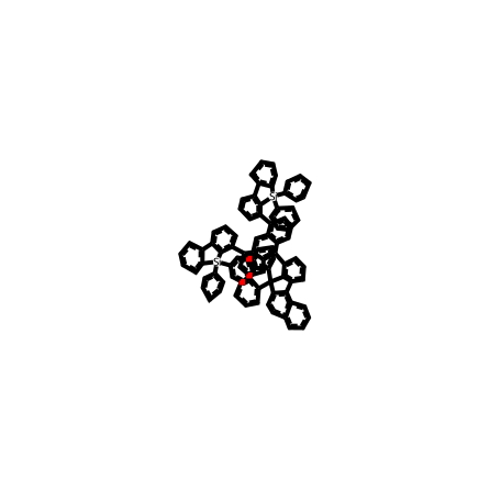 c1ccc([Si]2(c3ccccc3)c3ccccc3-c3cccc(-c4cccc5c(-c6cccc7c6C6(c8ccccc8-c8ccccc86)c6ccc8ccccc8c6-7)c6cccc(-c7cccc8c7[Si](c7ccccc7)(c7ccccc7)c7ccccc7-8)c6cc45)c32)cc1